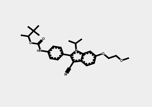 COCCOc1ccc2c(C#N)c(-c3ccc(NC(=O)OC(C)C(C)(C)C)cc3)n(C(C)C)c2c1